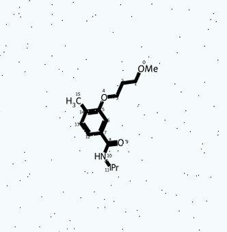 COCCCOc1cc(C(=O)NC(C)C)ccc1C